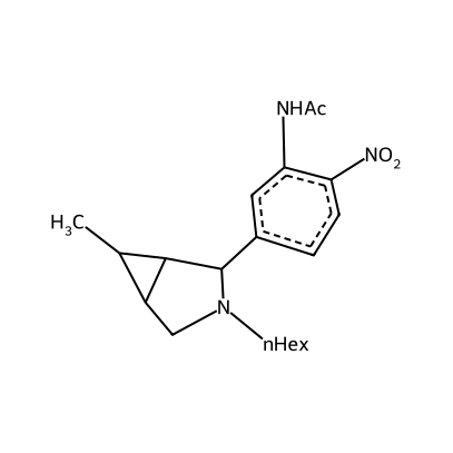 CCCCCCN1CC2C(C)C2C1c1ccc([N+](=O)[O-])c(NC(C)=O)c1